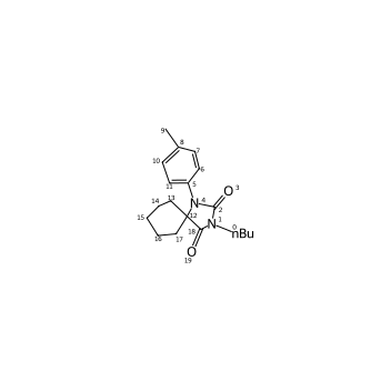 CCCCN1C(=O)N(c2ccc(C)cc2)C2(CCCCC2)C1=O